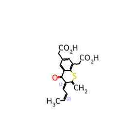 C=c1sc2c(CC(=O)O)cc(CC(=O)O)cc2c(=O)/c1=C/C=C\C